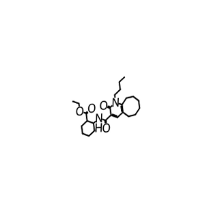 CCCCn1c2c(cc(C(=O)NC3CCCCC3C(=O)OCC)c1=O)CCCCCC2